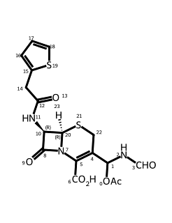 CC(=O)OC(NC=O)C1=C(C(=O)O)N2C(=O)[C@@H](NC(=O)Cc3cccs3)[C@H]2SC1